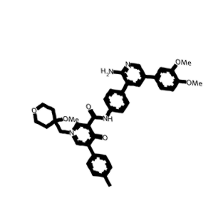 COc1ccc(-c2cnc(N)c(-c3ccc(NC(=O)c4cn(CC5(OC)CCOCC5)cc(-c5ccc(C)cc5)c4=O)cc3)c2)cc1OC